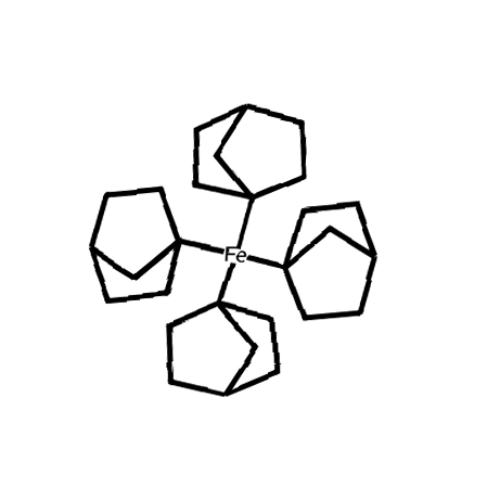 C1C[C]2([Fe]([C]34CCC(CC3)C4)([C]34CCC(CC3)C4)[C]34CCC(CC3)C4)CCC1C2